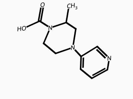 CC1CN(c2cccnc2)CCN1C(=O)O